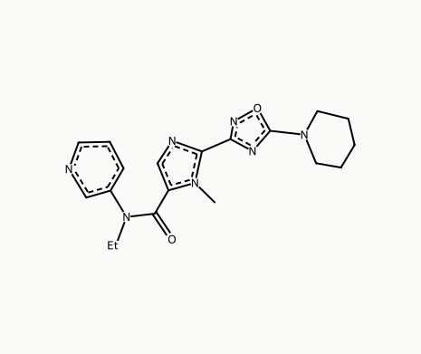 CCN(C(=O)c1cnc(-c2noc(N3CCCCC3)n2)n1C)c1cccnc1